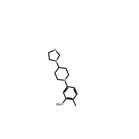 COc1cc(N2CCC(N3CCOC3)CC2)ccc1C